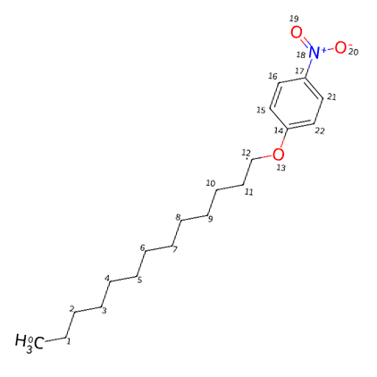 CCCCCCCCCCCC[CH]Oc1ccc([N+](=O)[O-])cc1